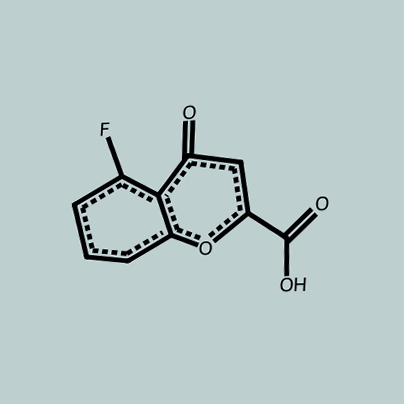 O=C(O)c1cc(=O)c2c(F)cccc2o1